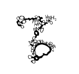 COc1cc2cc(c1Cl)N(C)C(=O)C[C@H](OC(=O)[C@H](C)N(C)C(=O)OCc1ccc(NC(=O)[C@H](CCCNC(N)=O)NC(=O)[C@@H](NC(=O)CCCCC(=O)ON3C(=O)CCC3=O)C(C)C)cc1)[C@]1(C)O[C@H]1[C@H](C)[C@@H]1C[C@@](O)(NC(=O)O1)[C@H](OC)/C=C/C=C(\C)C2